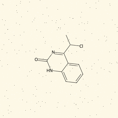 CC(Cl)c1nc(=O)[nH]c2ccccc12